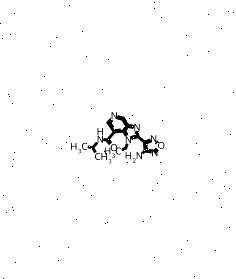 CCn1c(-c2nonc2N)nc2cncc(C(=O)NC(C)C)c21